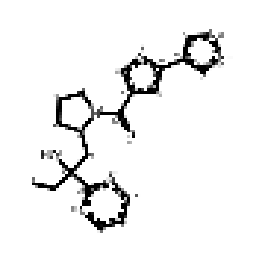 CCC(O)(CC1CCCN1C(=O)c1csc(-c2cn[nH]c2)c1)c1ncccn1